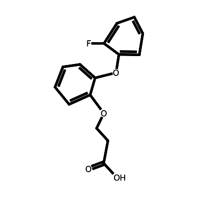 O=C(O)CCOc1ccccc1Oc1ccccc1F